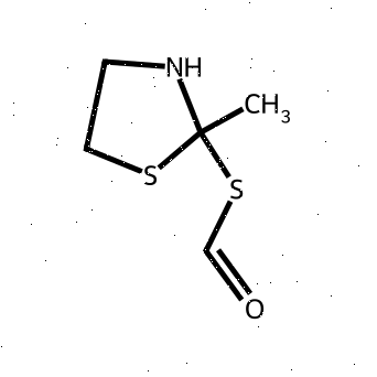 CC1(SC=O)NCCS1